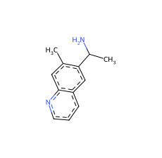 Cc1cc2ncccc2cc1C(C)N